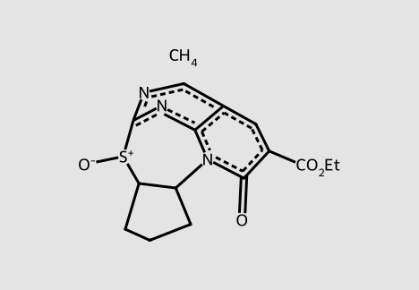 C.CCOC(=O)c1cc2cnc3nc2n(c1=O)C1CCCC1[S+]3[O-]